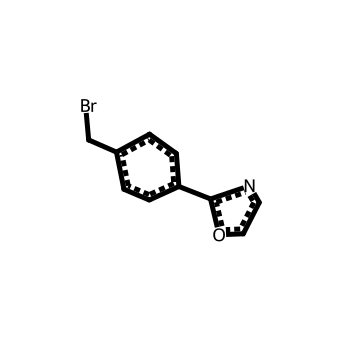 BrCc1ccc(-c2ncco2)cc1